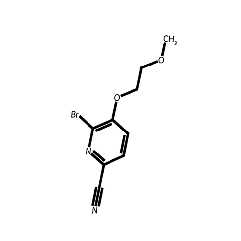 COCCOc1ccc(C#N)nc1Br